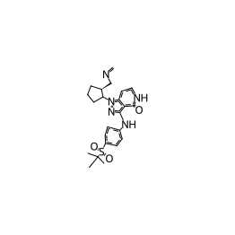 C=NC[C@@H]1CCCC1n1nc(Nc2ccc(S(=O)(=O)C(C)(C)C)cc2)c2c(=O)[nH]ccc21